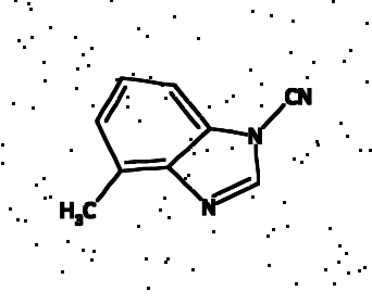 Cc1cccc2c1ncn2C#N